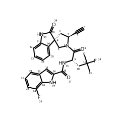 C#C[C@@H]1C[C@@]2(CN1C(=O)[C@H](CC(C)(C)F)NC(=O)c1cc3cccc(F)c3[nH]1)C(=O)Nc1ccccc12